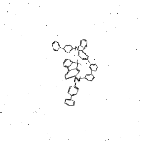 CC1(C)c2ccccc2-c2ccc(N(c3ccc(-c4ccccc4)cc3)c3cccc(-c4cccc(-c5ccc6c(c5)c5ccccc5n6-c5ccc(-c6ccccc6)cc5)c4)c3)cc21